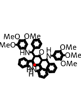 COc1cc(NC(c2ccccc2)C(C(=O)C(c2c[nH]c3ccccc23)C(Nc2cc(OC)c(OC)c(OC)c2)c2ccccc2)c2c[nH]c3ccccc23)cc(OC)c1OC